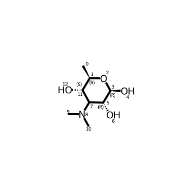 C[C@H]1O[C@@H](O)[C@H](O)C(N(C)C)[C@@H]1O